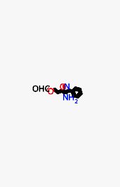 Nc1c(-c2ccccc2)noc1CCOC=O